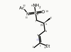 CC/C(C)=C\C[C@H](C)CS(N)(=O)=NC(C)=O